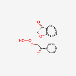 O=C(COOO)c1ccccc1.O=C1COc2ccccc21